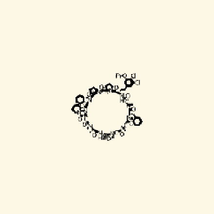 CC[C@H](C)[C@@H]1NC(=O)[C@H](C)N(C)C(=O)C[C@@H](C(=O)N2CCCCC2)N(C)C(=O)[C@H](C2CCCCC2)N(C)C(=O)C2(CCCC2)NC(=O)[C@@H]2CCCN2C(=O)[C@H](CCc2cc(Cl)c(Cl)c(OC(C)C)c2)NC(=O)CN(C)C(=O)[C@H](CC2CCCCC2)N(C)C(=O)CN(C)C(=O)CN(C)C1=O